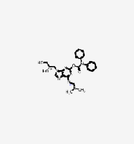 CN(C)/C=N/c1nc(OC(=O)N(c2ccccc2)c2ccccc2)nc2c1ncn2C[C@H](O)CO